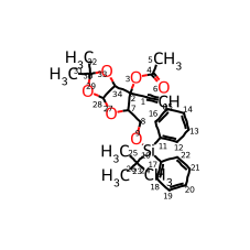 C#CC1(OC(C)=O)C(CO[Si](c2ccccc2)(c2ccccc2)C(C)(C)C)OC2OC(C)(C)OC21